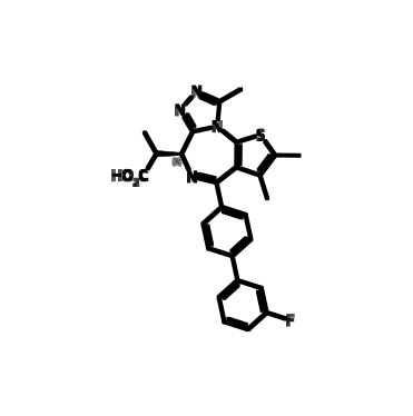 Cc1sc2c(c1C)C(c1ccc(-c3cccc(F)c3)cc1)=N[C@@H](C(C)C(=O)O)c1nnc(C)n1-2